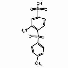 Cc1ccc(S(=O)(=O)c2ccc(S(=O)(=O)O)cc2N)cc1